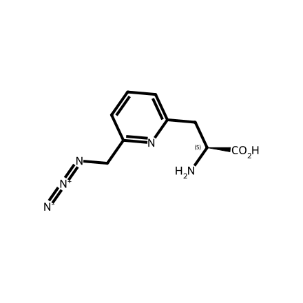 [N-]=[N+]=NCc1cccc(C[C@H](N)C(=O)O)n1